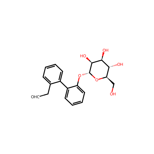 O=CCc1ccccc1-c1ccccc1O[C@H]1O[C@H](CO)[C@@H](O)[C@H](O)[C@@H]1O